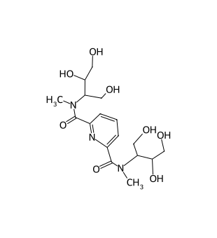 CN(C(=O)c1cccc(C(=O)N(C)C(CO)C(O)CO)n1)C(CO)C(O)CO